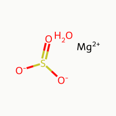 O.O=S([O-])[O-].[Mg+2]